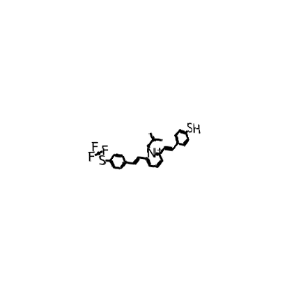 CC(C)C[n+]1c(/C=C/c2ccc(S)cc2)cccc1/C=C/c1ccc(SC(F)(F)F)cc1